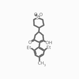 CCc1cc(C)cc(CC)c1C1=C(O)CC(C2CCS(=O)(=O)CC2)CC1=O